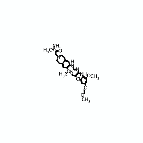 COCCOc1ccc(Nc2nc(Nc3cc4c(cc3OC)CCN(CC(=O)N(C)C)CC4)ncc2Cl)c(OC)c1